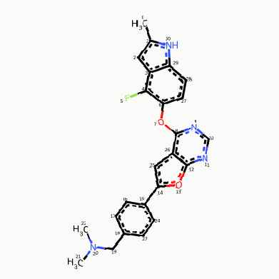 Cc1cc2c(F)c(Oc3ncnc4oc(-c5ccc(CN(C)C)cc5)cc34)ccc2[nH]1